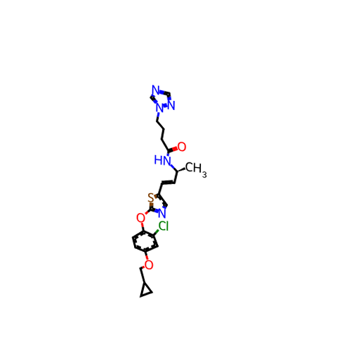 C[C@@H](/C=C/c1cnc(Oc2ccc(OCC3CC3)cc2Cl)s1)NC(=O)CCCn1cncn1